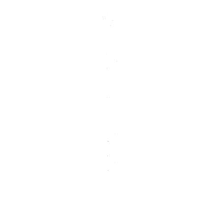 OCCCCCCCCCCCCCCCCCCCCCCC[Si](Cl)(Cl)Cl